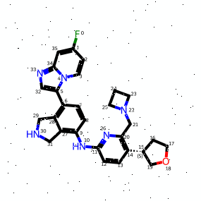 Fc1ccn2c(-c3ccc(Nc4ccc([C@@H]5CCOC5)c(CN5CCC5)n4)c4c3CNC4)cnc2c1